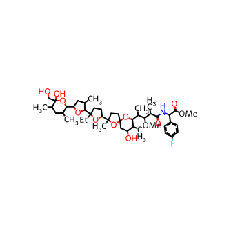 CCC1(C2OC(C3OC(O)(CO)C(C)CC3C)CC2C)CCC(C2(C)CCC3(CC(O)C(C)C(C(C)C(OC)C(C)C(=O)NC(C(=O)OC)c4ccc(F)cc4)O3)O2)O1